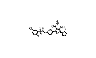 NC(=O)c1c(-c2ccc(CNS(=O)(=O)c3cc(Cl)ccc3F)cc2)nn(C2CCCC2)c1N